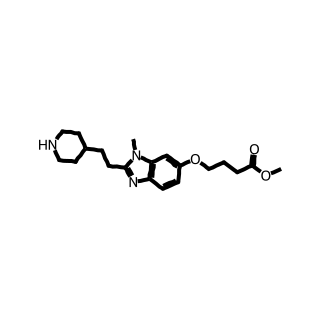 COC(=O)CCCOc1ccc2nc(CCC3CCNCC3)n(C)c2c1